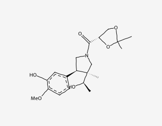 COc1ccc([C@H]2CN(C(=O)[C@@H]3COC(C)(C)O3)C[C@@]2(C)[C@@H](C)O)cc1O